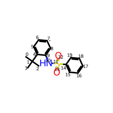 CC(C)(C)c1cc[c]cc1NS(=O)(=O)c1ccccc1